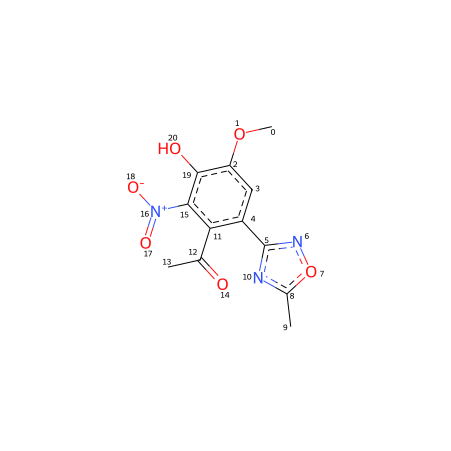 COc1cc(-c2noc(C)n2)c(C(C)=O)c([N+](=O)[O-])c1O